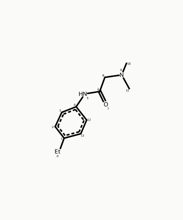 CCc1ccc(NC(=O)CN(C)C)cc1